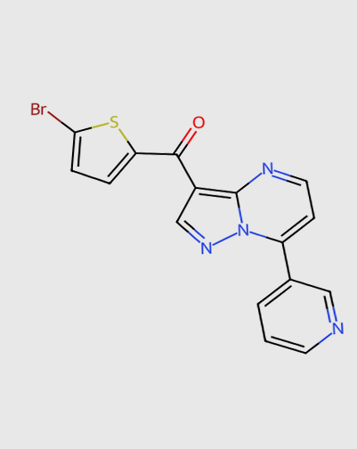 O=C(c1ccc(Br)s1)c1cnn2c(-c3cccnc3)ccnc12